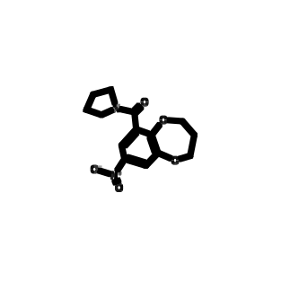 O=C(c1cc([N+](=O)[O-])cc2c1OCCCO2)N1CCCC1